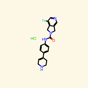 Cl.O=C(Nc1ccc(C2=CCNCC2)cc1)N1Cc2cncc(F)c2C1